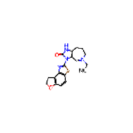 N#CCN1CCCC2NC(=O)N(c3nc4c5c(ccc4s3)OCC5)C2C1